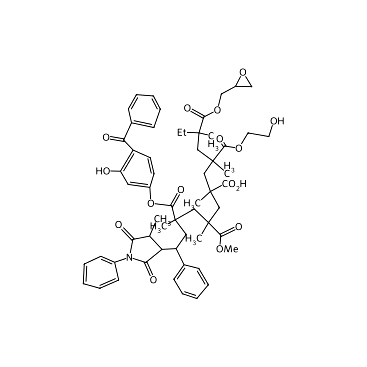 CCC(C)(CC(C)(CC(C)(CC(C)(CC(C)(CC(c1ccccc1)C1C(=O)N(c2ccccc2)C(=O)C1C)C(=O)Oc1ccc(C(=O)c2ccccc2)c(O)c1)C(=O)OC)C(=O)O)C(=O)OCCO)C(=O)OCC1CO1